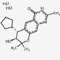 Cc1nc2cc3c(cc2c(=O)[nH]1)[C@@H](N1CCCC1)[C@H](O)C(C)(C)O3.Cl.Cl